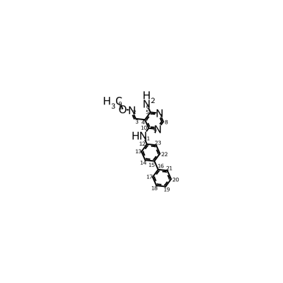 CON=Cc1c(N)ncnc1Nc1ccc(-c2ccccc2)cc1